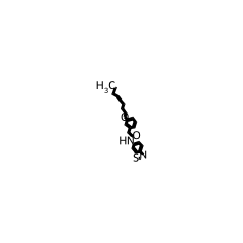 CCCC#CCCCOc1cccc(CC(=O)Nc2ccc3ncsc3c2)c1